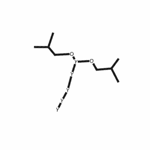 CC(C)C[O][Y]([O]CC(C)C)[Y][Y][Y][Y]